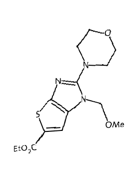 CCOC(=O)c1cc2c(nc(N3CCOCC3)n2COC)s1